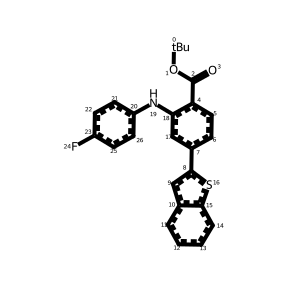 CC(C)(C)OC(=O)c1ccc(-c2cc3ccccc3s2)cc1Nc1ccc(F)cc1